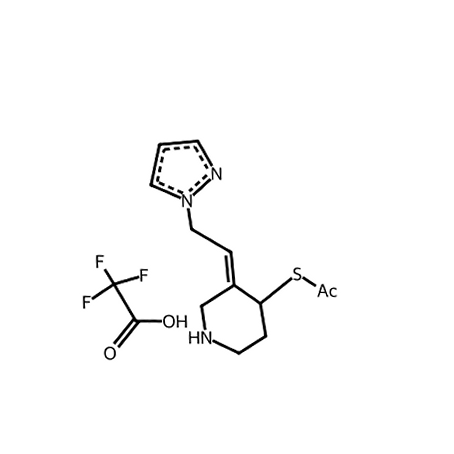 CC(=O)SC1CCNCC1=CCn1cccn1.O=C(O)C(F)(F)F